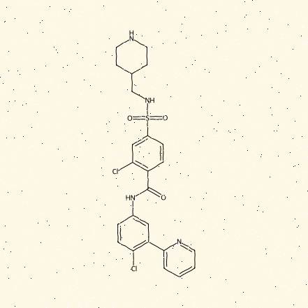 O=C(Nc1ccc(Cl)c(-c2ccccn2)c1)c1ccc(S(=O)(=O)NCC2CCNCC2)cc1Cl